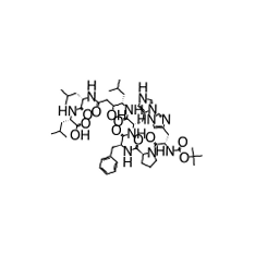 CC(C)C[C@H](NC(=O)[C@H](CC(C)C)NC(=O)C[C@H](O)[C@H](CC(C)C)NC(=O)[C@H](Cc1c[nH]cn1)NC(=O)[C@H](Cc1ccccc1)NC(=O)[C@@H]1CCCN1C(=O)[C@H](Cc1c[nH]cn1)NC(=O)OC(C)(C)C)C(=O)O